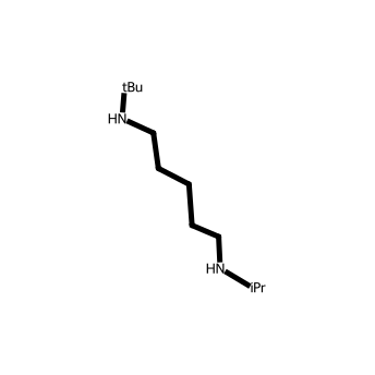 CC(C)NCCCCCNC(C)(C)C